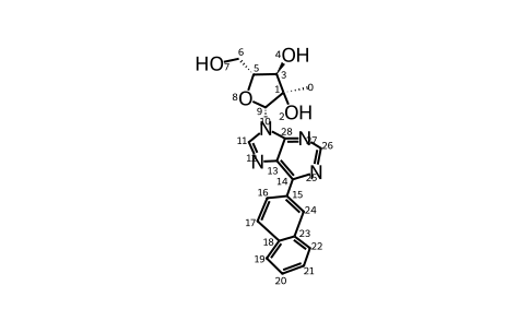 C[C@@]1(O)[C@H](O)[C@@H](CO)O[C@H]1n1cnc2c(-c3ccc4ccccc4c3)ncnc21